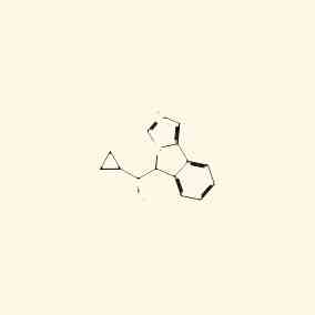 O[C@@H](C1CC1)C1c2ccccc2-c2cncn21